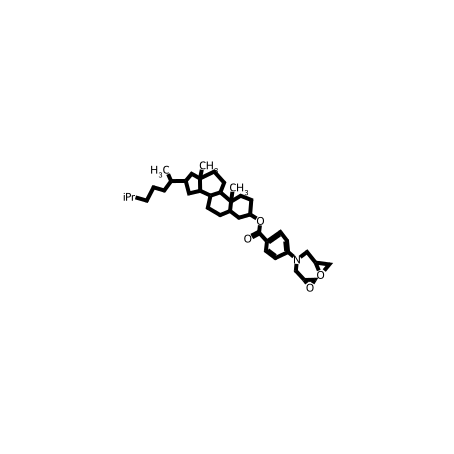 CC(C)CCCC(C)C1CC2C3CCC4CC(OC(=O)c5ccc(N(CC6CO6)CC6CO6)cc5)CCC4(C)C3CCC2(C)C1